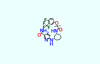 CC(C)(Oc1ccc(F)c(C(F)(F)F)c1)C(=O)NC1CCCCC(Nc2ccc(C(N)=O)cn2)C1